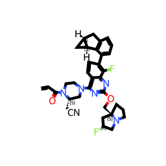 C=CC(=O)N1CCN(c2nc(OC[C@@]34CCCN3C[C@H](F)C4)nc3c(F)c(-c4cccc5c4[C@H]4C[C@H]4C5)ccc23)C[C@@H]1CC#N